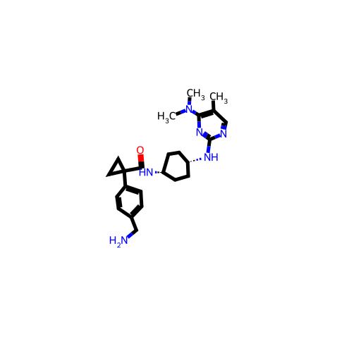 Cc1cnc(N[C@H]2CC[C@@H](NC(=O)C3(c4ccc(CN)cc4)CC3)CC2)nc1N(C)C